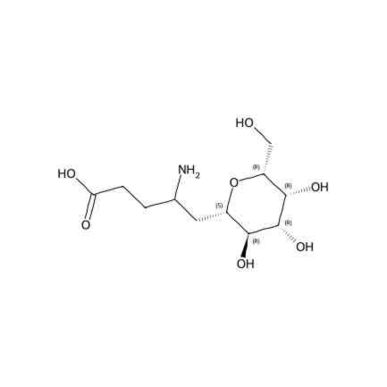 NC(CCC(=O)O)C[C@@H]1O[C@H](CO)[C@H](O)[C@H](O)[C@H]1O